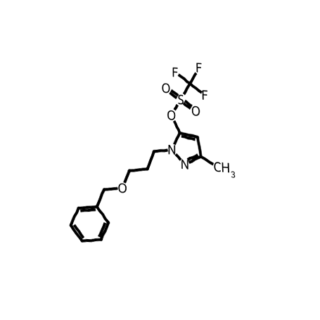 Cc1cc(OS(=O)(=O)C(F)(F)F)n(CCCOCc2ccccc2)n1